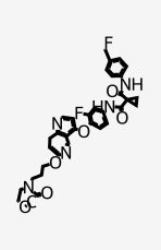 O=C1COCCN1CCCOC1=CCc2nccc(Oc3ccc(NC(=O)C4(C(=O)Nc5ccc(CF)cc5)CC4)cc3F)c2C=N1